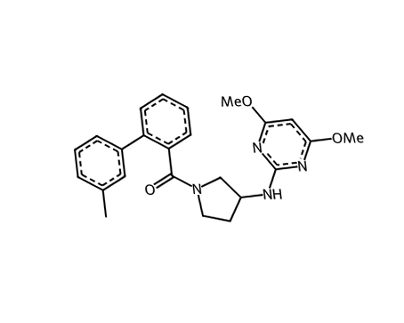 COc1cc(OC)nc(NC2CCN(C(=O)c3ccccc3-c3cccc(C)c3)C2)n1